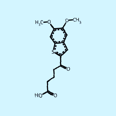 COc1cc2cc(C(=O)CCCC(=O)O)sc2cc1OC